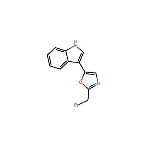 CC(C)Cc1ncc(-c2c[nH]c3ccccc23)o1